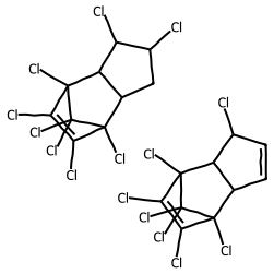 ClC1=C(Cl)C2(Cl)C3C(Cl)C(Cl)CC3C1(Cl)C2(Cl)Cl.ClC1=C(Cl)C2(Cl)C3C(Cl)C=CC3C1(Cl)C2(Cl)Cl